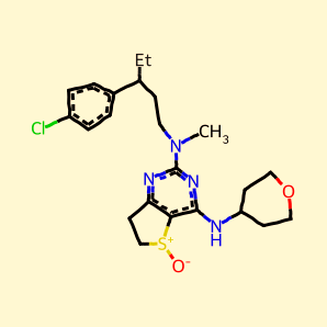 CCC(CCN(C)c1nc2c(c(NC3CCOCC3)n1)[S+]([O-])CC2)c1ccc(Cl)cc1